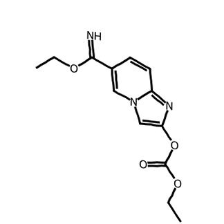 CCOC(=N)c1ccc2nc(OC(=O)OCC)cn2c1